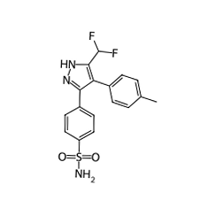 Cc1ccc(-c2c(-c3ccc(S(N)(=O)=O)cc3)n[nH]c2C(F)F)cc1